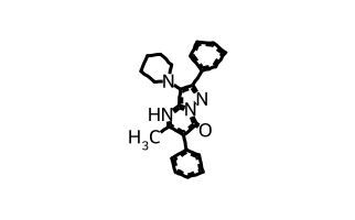 Cc1[nH]c2c(N3CCCCC3)c(-c3ccccc3)nn2c(=O)c1-c1ccccc1